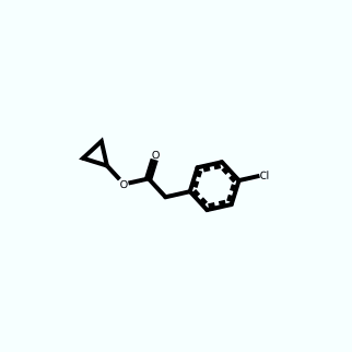 O=C(Cc1ccc(Cl)cc1)OC1CC1